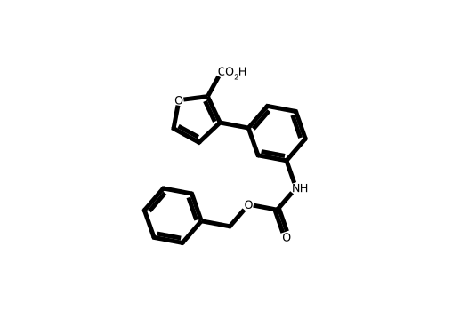 O=C(Nc1cccc(-c2ccoc2C(=O)O)c1)OCc1ccccc1